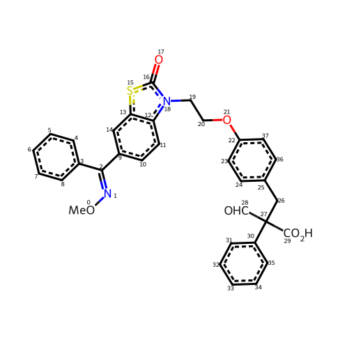 CON=C(c1ccccc1)c1ccc2c(c1)sc(=O)n2CCOc1ccc(CC(C=O)(C(=O)O)c2ccccc2)cc1